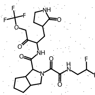 O=C(NCC(F)F)C(=O)N1CC2CCCC2C1C(=O)NC(CC1CCNC1=O)C(=O)COC(F)(F)F